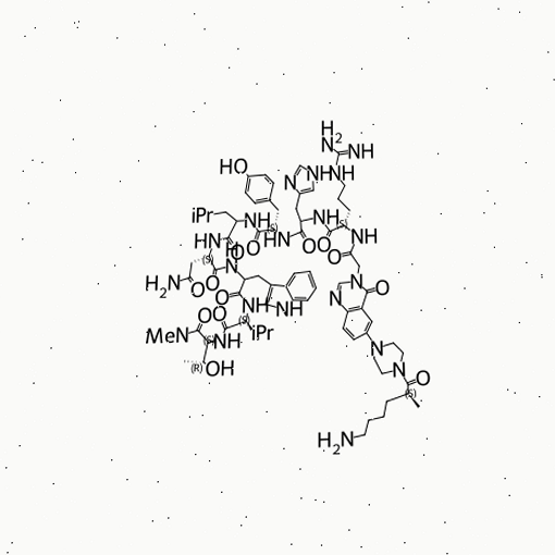 CNC(=O)[C@@H](NC(=O)[C@@H](NC(=O)C(Cc1c[nH]c2ccccc12)NC(=O)[C@H](CC(N)=O)NC(=O)C(CC(C)C)NC(=O)[C@H](Cc1ccc(O)cc1)NC(=O)C(Cc1c[nH]cn1)NC(=O)[C@H](CCCNC(=N)N)NC(=O)Cn1cnc2ccc(N3CCN(C(=O)[C@@H](C)CCCCN)CC3)cc2c1=O)C(C)C)[C@@H](C)O